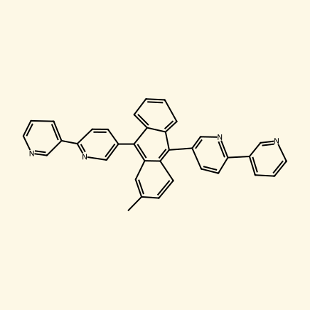 Cc1ccc2c(-c3ccc(-c4cccnc4)nc3)c3ccccc3c(-c3ccc(-c4cccnc4)nc3)c2c1